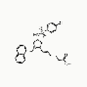 COC(=O)CCCC=C[C@@H]1C[C@@H](NS(=O)(=O)c2ccc(Cl)cc2)CN1Cc1cccc2ccccc12